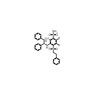 NS(=O)(=O)c1c(F)c(F)c(S(=O)(=O)CCc2ccccc2)c(N[C@@H](c2ccccc2)[C@@H](O)c2ccccc2)c1F